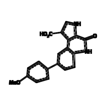 COc1ccc(-c2ccc3[nH]c(=O)c4[nH]cc(C(=O)O)c4c3c2)cc1